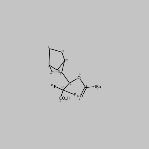 CC(C)(C)C(=O)OC(C1CC2CCC1C2)C(F)(F)C(=O)O